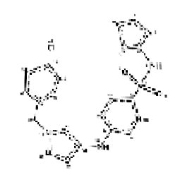 O=S(=O)(Nc1nccs1)c1ccc(Nc2cnn(Cc3ccc(Cl)cc3)c2)cn1